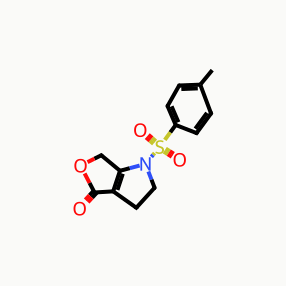 Cc1ccc(S(=O)(=O)N2CCC3=C2COC3=O)cc1